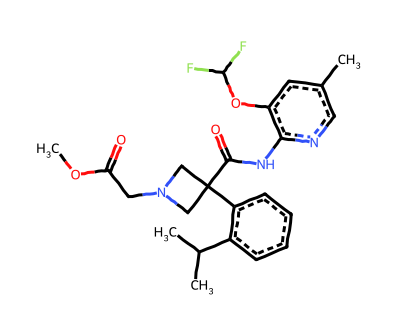 COC(=O)CN1CC(C(=O)Nc2ncc(C)cc2OC(F)F)(c2ccccc2C(C)C)C1